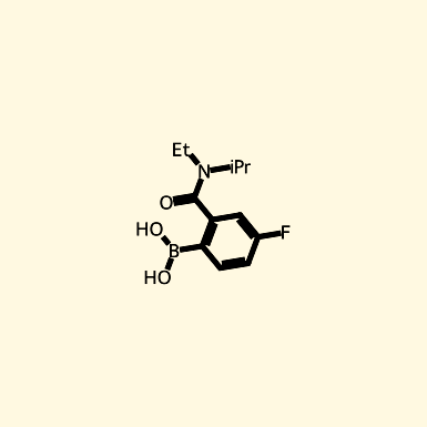 CCN(C(=O)c1cc(F)ccc1B(O)O)C(C)C